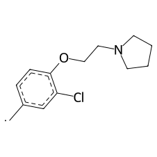 [CH2]c1ccc(OCCN2CCCC2)c(Cl)c1